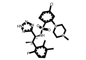 Cc1ccc(F)c([C@@H](C)[C@H](NS(=O)(=O)c2ccc(Cl)cc2N2CCN(C)CC2)c2nn[nH]n2)c1C